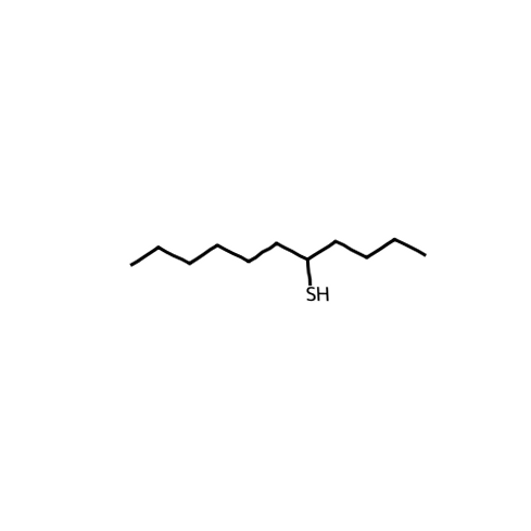 CCCCCCC(S)CCCC